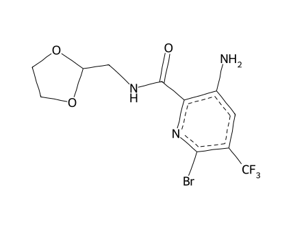 Nc1cc(C(F)(F)F)c(Br)nc1C(=O)NCC1OCCO1